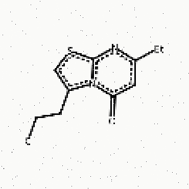 CCc1cc(=O)n2c(CCCl)csc2n1